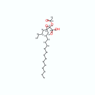 CCCCCCCCCCCCCCCC1(CCCC)OC1(OC(C)=O)C(=O)O